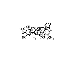 C[C@@H]1[C@H]2[C@H]3C(=O)C=C4[C@@]5(C)C=C(C#N)C(=O)C(C)(C)[C@@H]5CC[C@@]4(C)[C@]3(C)CC[C@@]2(N2CCOC2=O)CC[C@H]1C